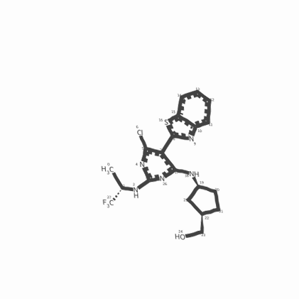 C[C@H](Nc1nc(Cl)c(-c2nc3ccccc3s2)c(N[C@H]2CC[C@@H](CO)C2)n1)C(F)(F)F